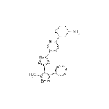 Cc1onc(-c2ccccc2)c1-c1nnc(-c2ccc(C3CC(N)CCO3)nc2)o1